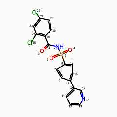 O=C(NS(=O)(=O)c1ccc(-c2cccnc2)cc1)c1ccc(Cl)cc1Cl